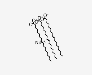 CCCCCCCCC=CCCCCCCCC(=O)[O-].CCCCCCCCC=CCCCCCCCC(=O)[O-].CCCCCCCCC=CCCCCCCCC(=O)[O-].[Nd+3]